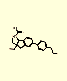 CCCc1ccc(-c2ccc3c(c2)CC(CC)(CC)C3NC(=O)O)cc1